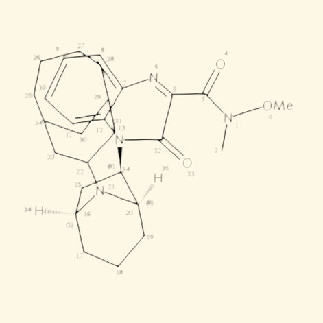 CON(C)C(=O)c1nc2ccccc2n([C@@H]2C[C@@H]3CCC[C@H]2N3C2CC3CCCCC(C3)C2)c1=O